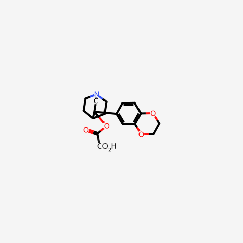 O=C(O)C(=O)OC1(c2ccc3c(c2)OCCO3)CN2CCC1CC2